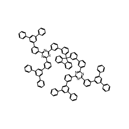 c1ccc(-c2cc(-c3ccccc3)cc(-c3cccc(-c4nc(-c5cccc(-c6cc(-c7ccccc7)cc(-c7ccccc7)c6)c5)nc(-c5cccc(-c6cccc(C7(c8cccc(-c9cccc(-c%10nc(-c%11cccc(-c%12cc(-c%13ccccc%13)cc(-c%13ccccc%13)c%12)c%11)nc(-c%11cccc(-c%12cc(-c%13ccccc%13)cc(-c%13ccccc%13)c%12)c%11)n%10)c9)c8)c8ccccc8-c8ccccc87)c6)c5)n4)c3)c2)cc1